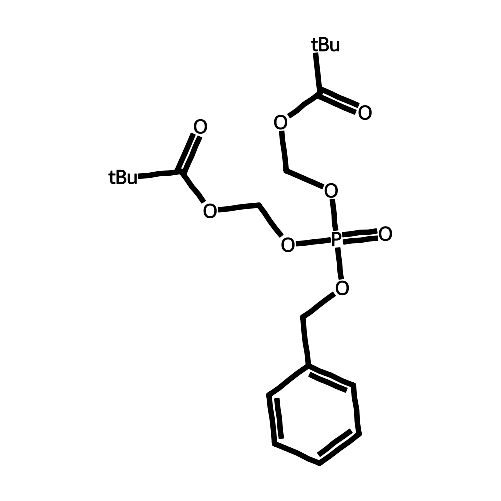 CC(C)(C)C(=O)OCOP(=O)(OCOC(=O)C(C)(C)C)OCc1ccccc1